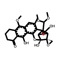 COc1c2c(c(O)c3c4c(c(C)cc13)C1C3OC(O)(C(OC)OC)C1[C@]1(CO1)[C@]3(O)O4)C(=O)CCC2